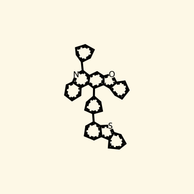 c1ccc(-c2nc3ccccc3c3c(-c4ccc(-c5cccc6c5sc5ccccc56)cc4)c4c(cc23)oc2ccccc24)cc1